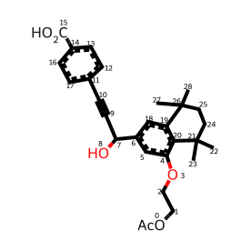 CC(=O)OCCOc1cc(C(O)C#Cc2ccc(C(=O)O)cc2)cc2c1C(C)(C)CCC2(C)C